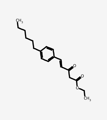 CCCCCCc1ccc(C=CC(=O)CC(=O)OCC)cc1